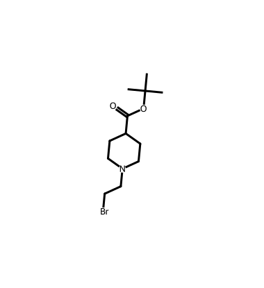 CC(C)(C)OC(=O)C1CCN(CCBr)CC1